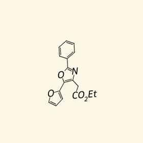 CCOC(=O)Cc1nc(-c2ccccc2)oc1-c1ccco1